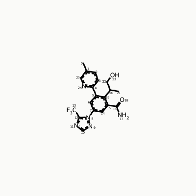 Cc1ccc(-c2cc(-n3ncnc3C(F)(F)F)cc(C(N)=O)c2C(C)CO)nc1